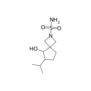 CC(C)C1CCC2(CN(S(N)(=O)=O)C2)C1O